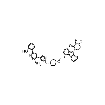 Nc1nnc(-c2ccccc2O)cc1-c1cnn(C[C@H]2CC[C@H](OCCc3cccc4c3c3cccnc3n4C3CCC(=O)NC3=O)CC2)c1